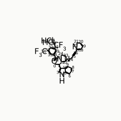 CC(c1c[nH]c2ccccc12)[C@@H]1CN(CC#Cc2ccccn2)CCN1C(=O)c1cc(C(F)(F)F)cc(C(F)(F)F)c1.Cl.Cl